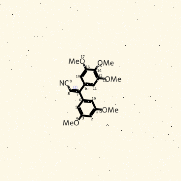 COc1cc(OC)cc(/C(=C/C#N)c2cc(OC)c(OC)c(OC)c2)c1